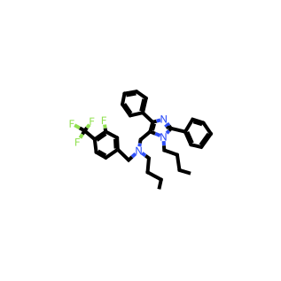 CCCCN(Cc1ccc(C(F)(F)F)c(F)c1)Cc1c(-c2ccccc2)nc(-c2ccccc2)n1CCCC